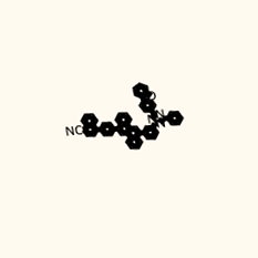 N#Cc1ccc(-c2ccc(-c3cc4c5ccccc5c(-c5cccc(-c6nc(-c7ccccc7)nc(-c7ccc8c(c7)oc7ccccc78)n6)c5)cc4c4ccccc34)cc2)c2ccccc12